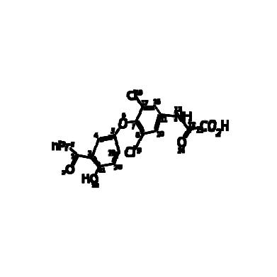 CCCC(=O)c1cc(Oc2c(Cl)cc(NC(=O)C(=O)O)cc2Cl)ccc1O